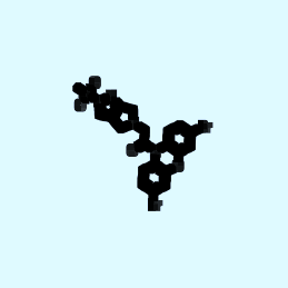 CS(=O)(=O)n1cc2c(n1)CN(CC(=O)N1c3ccc(Br)cc3Oc3cc(Br)ccc31)C2